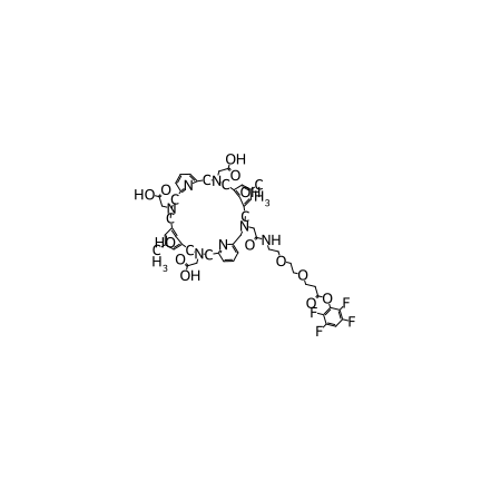 Cc1cc2c(O)c(c1)CN(CC(=O)O)Cc1cccc(n1)CN(CC(=O)NCCOCCOCCC(=O)Oc1c(F)c(F)cc(F)c1F)Cc1cc(C)cc(c1O)CN(CC(=O)O)Cc1cccc(n1)CN(CC(=O)O)C2